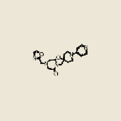 O=C1CN(Cc2ncco2)CC2OC3(CCN(c4ccncc4)CC3)CN12